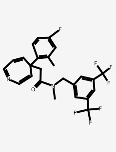 Cc1cc(F)ccc1C1(CC(=O)N(C)Cc2cc(C(F)(F)F)cc(C(F)(F)F)c2)C=CC=NC=C1